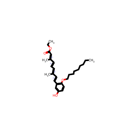 CCCCCCCCCOc1ccc(O)cc1/C=C/C(C)=C/C=C/C(C)=C/C(=O)OCC